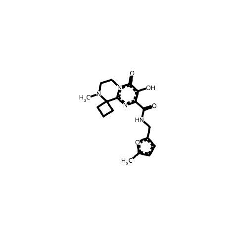 Cc1ccc(CNC(=O)c2nc3n(c(=O)c2O)CCN(C)C32CCC2)o1